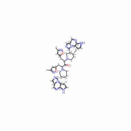 Cc1cc(CC(C(=O)C(Cc2cc(C)no2)N2CC[C@H](C)[C@H](c3ncc4cnc5[nH]ccc5n34)C2)N2CC[C@H](C)[C@H](c3ncc4cnc5[nH]ccc5n34)C2)on1